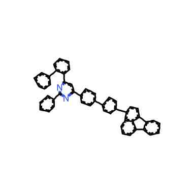 c1ccc(-c2nc(-c3ccc(-c4ccc(-c5ccc6c7c(cccc57)-c5ccccc5-6)cc4)cc3)cc(-c3ccccc3-c3ccccc3)n2)cc1